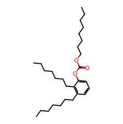 CCCCCCCCOC(=O)Oc1cccc(CCCCCCC)c1CCCCCCC